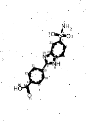 NS(=O)(=O)c1ccc2[nH]c(-c3ccc(C(=O)O)cc3)nc2c1